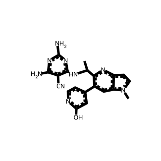 CC(Nc1nc(N)nc(N)c1C#N)c1nc2ccn(C)c2cc1-c1ccnc(O)c1